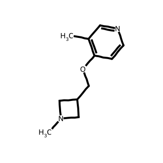 Cc1cnccc1OCC1CN(C)C1